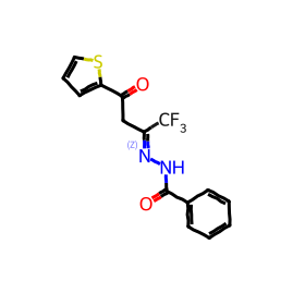 O=C(N/N=C(/CC(=O)c1cccs1)C(F)(F)F)c1ccccc1